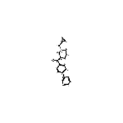 O=C(c1ccc(-c2ccccc2)cc1)C1CCCN(CC2CC2)C1